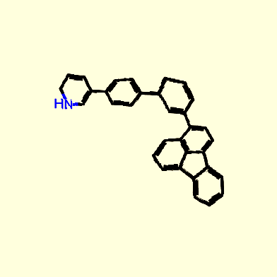 C1=CC(c2ccc(C3C=C(c4ccc5c6c(cccc46)-c4ccccc4-5)C=CC3)cc2)=CNC1